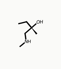 CC[C@](C)(O)CNC